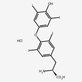 Cl.N[C@@H](Cc1cc(I)c(Oc2cc(I)c(O)c(I)c2)c(I)c1)C(=O)O